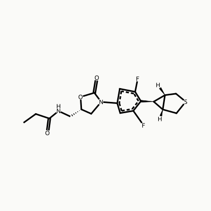 CCC(=O)NC[C@H]1CN(c2cc(F)c([C@H]3[C@@H]4CSC[C@@H]43)c(F)c2)C(=O)O1